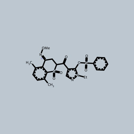 CCn1ncc(C(=O)C2C/C(=N\OC)c3c(C)ccc(C)c3S2(=O)=O)c1OS(=O)(=O)c1ccccc1